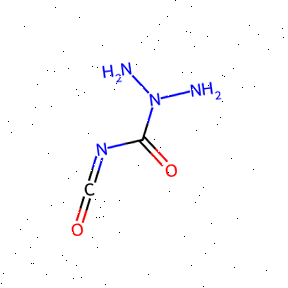 NN(N)C(=O)N=C=O